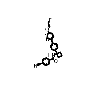 N#Cc1ccc(C(=O)NC2(c3ccc(-c4ccc(OCCF)nn4)cc3)CCC2)cc1